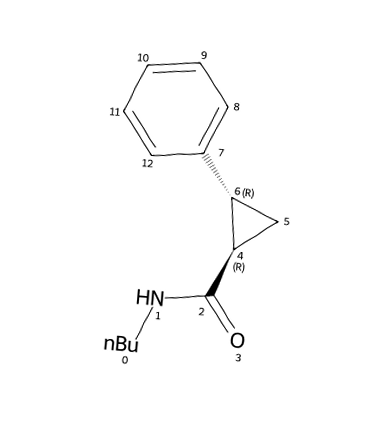 CCCCNC(=O)[C@@H]1C[C@H]1c1ccccc1